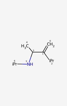 C=C(C(C)C)C(C)NC(C)C